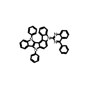 c1ccc(-c2nc(-n3c4ccccc4c4c5c(ccc43)n(-c3ccccc3)c3c4ccccc4n(-c4ccccc4)c53)nc3ccccc23)cc1